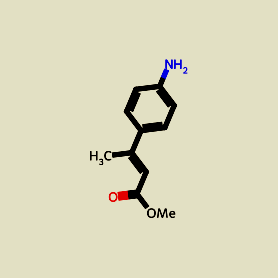 COC(=O)C=C(C)c1ccc(N)cc1